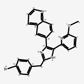 COc1cccc(-c2[nH]c(Cc3ccc(Br)cc3)nc2-c2ccc3ncccc3c2)n1